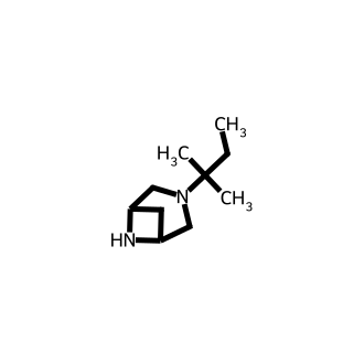 CCC(C)(C)N1CC2CC(C1)N2